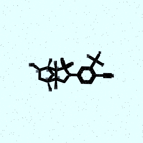 N#Cc1ccc(N2C[C@H]3[C@H]([C@H]4O[C@@H]3C[C@H]4O)S2(=O)=O)cc1C(F)(F)F